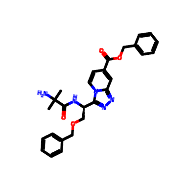 CC(C)(N)C(=O)N[C@H](COCc1ccccc1)c1nnc2cc(C(=O)OCc3ccccc3)ccn12